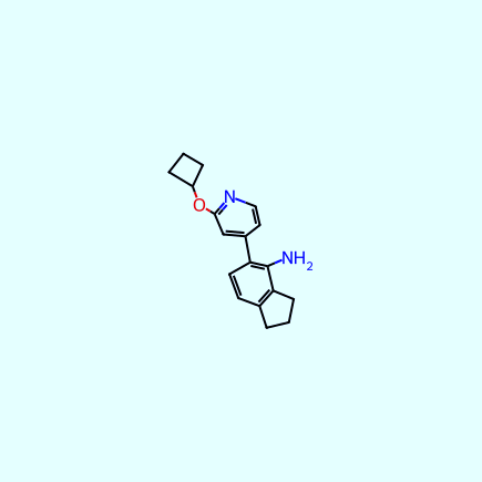 Nc1c(-c2ccnc(OC3CCC3)c2)ccc2c1CCC2